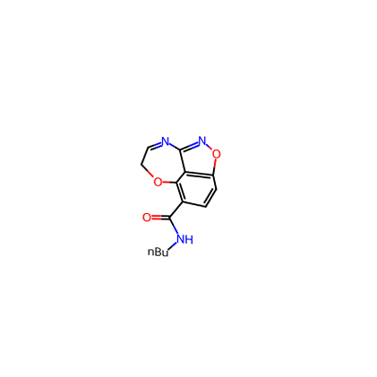 CCCCNC(=O)c1ccc2onc3c2c1OCC=N3